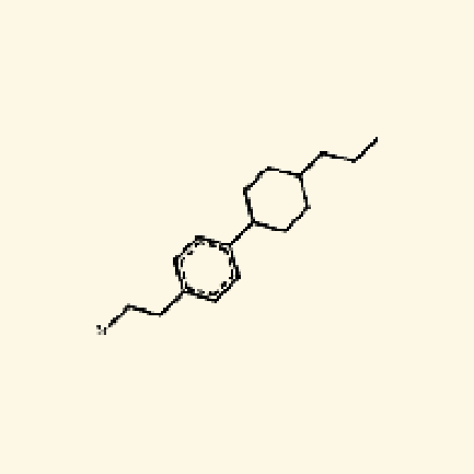 CCCC1CCC(c2ccc(CCBr)cc2)CC1